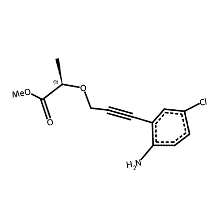 COC(=O)[C@@H](C)OCC#Cc1cc(Cl)ccc1N